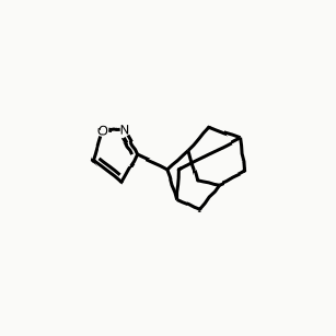 c1cc(C2C3CC4CC(C3)CC2C4)no1